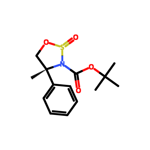 CC(C)(C)OC(=O)N1S(=O)OC[C@]1(C)c1ccccc1